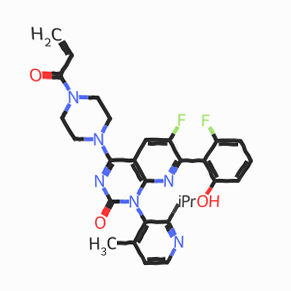 C=CC(=O)N1CCN(c2nc(=O)n(-c3c(C)ccnc3C(C)C)c3nc(-c4c(O)cccc4F)c(F)cc23)CC1